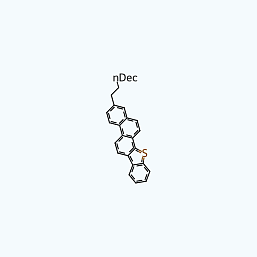 CCCCCCCCCCCCc1ccc2c(ccc3c2ccc2c4ccccc4sc23)c1